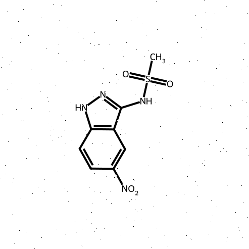 CS(=O)(=O)Nc1n[nH]c2ccc([N+](=O)[O-])cc12